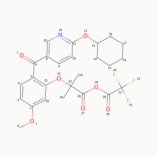 COc1ccc(C(=O)c2ccc(OC3CCCCC3)nc2)c(OC(C)(C)C(=O)OC(=O)C(F)(F)F)c1